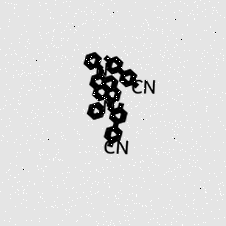 Cc1ccc(-c2ccc(C#N)cc2)cc1N(c1ccccc1)c1ccc2ccc3c(N(c4ccccc4)c4cc(-c5ccc(C#N)cc5)ccc4C)ccc4ccc1c2c43